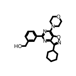 OCc1cccc(-c2nc(N3CCOCC3)c3onc(C4CCCCC4)c3n2)c1